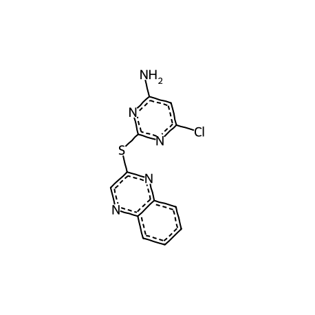 Nc1cc(Cl)nc(Sc2cnc3ccccc3n2)n1